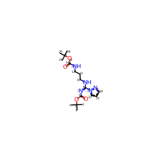 CC(C)(C)OC(=O)/N=C(/NCCCNC(=O)OC(C)(C)C)n1cccn1